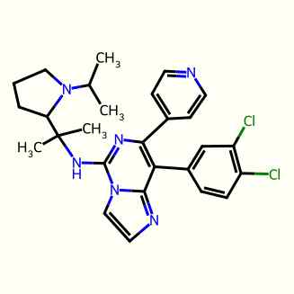 CC(C)N1CCCC1C(C)(C)Nc1nc(-c2ccncc2)c(-c2ccc(Cl)c(Cl)c2)c2nccn12